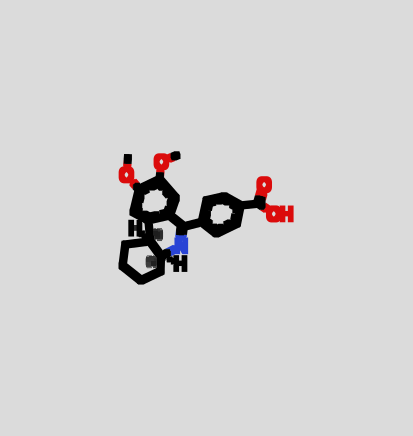 COc1cc2c(cc1OC)[C@@H]1CCCC[C@@H]1N=C2c1ccc(C(=O)O)cc1